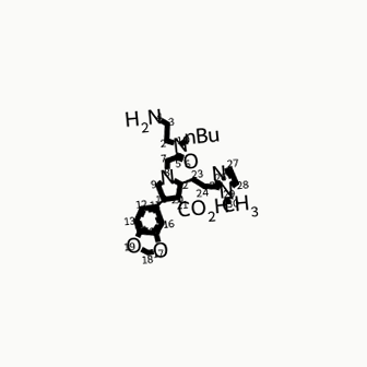 CCCCN(CCN)C(=O)CN1C[C@H](c2ccc3c(c2)OCO3)[C@@H](C(=O)O)[C@@H]1CCc1nccn1C